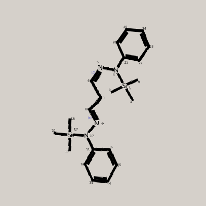 C[Si](C)(C)N(/N=C\C/C=N/N(c1ccccc1)[Si](C)(C)C)c1ccccc1